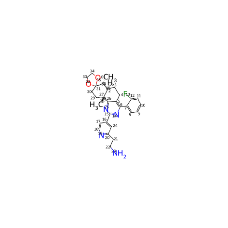 C[C@@H]1[C@H]2CCc3c(-c4ccccc4F)nc(-c4ccnc(CCN)c4)nc3[C@]2(C)CCC12OCCO2